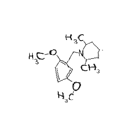 COc1ccc(OC)c(CN2C(C)C[CH]CC2C)c1